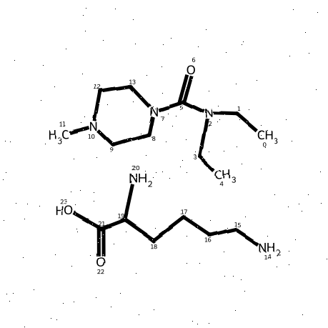 CCN(CC)C(=O)N1CCN(C)CC1.NCCCCC(N)C(=O)O